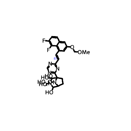 COCOc1cc(/C=C/c2ncnc(C34CCC(C(O)N(O)C3(O)O)N4C(=O)O)n2)c2c(F)c(F)ccc2c1